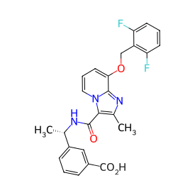 Cc1nc2c(OCc3c(F)cccc3F)cccn2c1C(=O)N[C@@H](C)c1cccc(C(=O)O)c1